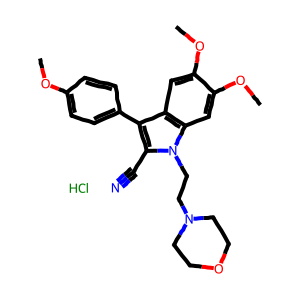 COc1ccc(-c2c(C#N)n(CCN3CCOCC3)c3cc(OC)c(OC)cc23)cc1.Cl